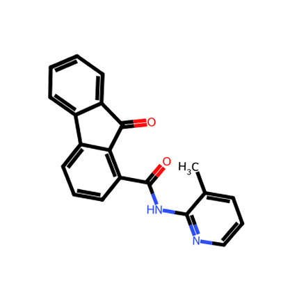 Cc1cccnc1NC(=O)c1cccc2c1C(=O)c1ccccc1-2